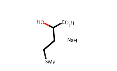 CSCCC(O)C(=O)O.[NaH]